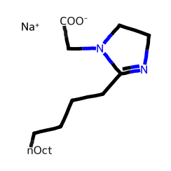 CCCCCCCCCCCCC1=NCCN1CC(=O)[O-].[Na+]